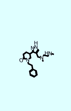 CNCCN(C)Cc1c[nH]nc1C1CCC(=O)N(CCc2ccccc2)C1